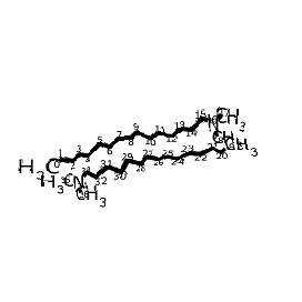 CCCCCCCCCCCCCCCCN(C)C.CCCCCCCCCCCCCCCN(C)C